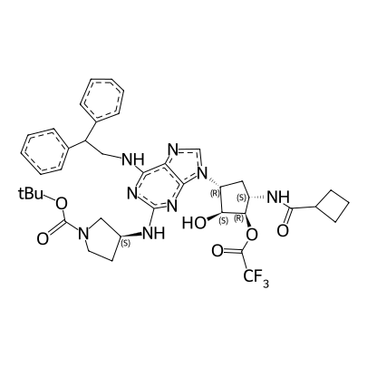 CC(C)(C)OC(=O)N1CC[C@H](Nc2nc(NCC(c3ccccc3)c3ccccc3)c3ncn([C@@H]4C[C@H](NC(=O)C5CCC5)[C@@H](OC(=O)C(F)(F)F)[C@H]4O)c3n2)C1